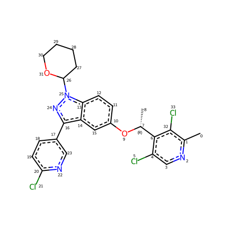 Cc1ncc(Cl)c([C@@H](C)Oc2ccc3c(c2)c(-c2ccc(Cl)nc2)nn3C2CCCCO2)c1Cl